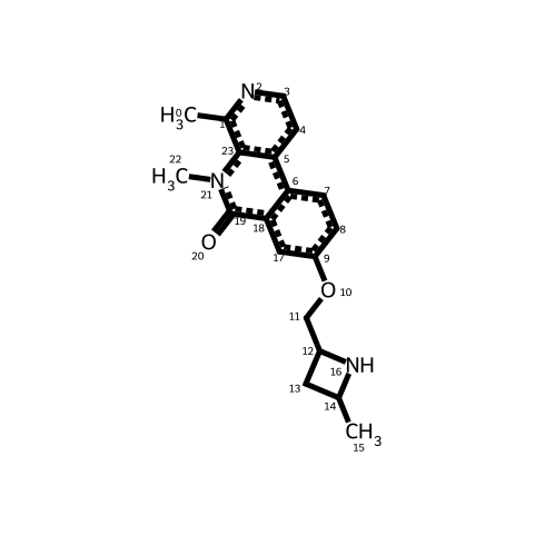 Cc1nccc2c3ccc(OCC4CC(C)N4)cc3c(=O)n(C)c12